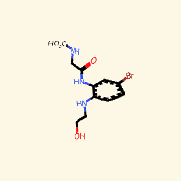 O=C(O)NCC(=O)Nc1cc(Br)ccc1NCCO